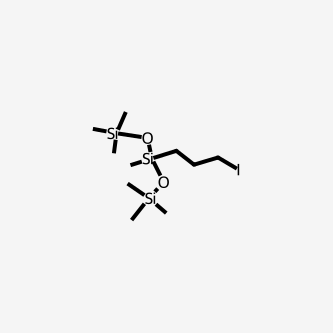 C[Si](C)(C)O[Si](C)(CCCI)O[Si](C)(C)C